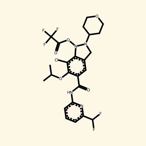 CC(C)Oc1c(C(=O)Nc2cccc(C(F)F)n2)cc2c(c1Cl)N(OC(=O)C(F)(F)F)N(C1CCOCC1)C2